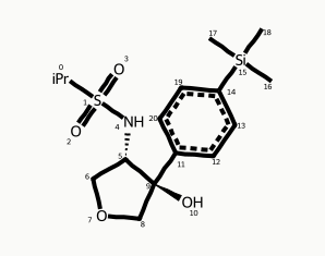 CC(C)S(=O)(=O)N[C@H]1COC[C@@]1(O)c1ccc([Si](C)(C)C)cc1